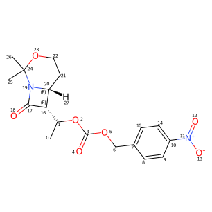 CC(OC(=O)OCc1ccc([N+](=O)[O-])cc1)[C@@H]1C(=O)N2[C@@H]1CCOC2(C)C